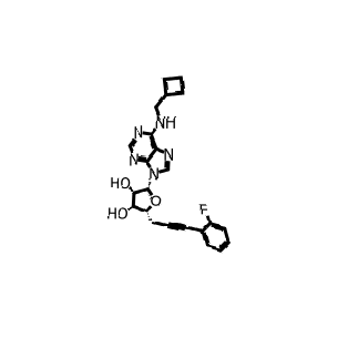 O[C@@H]1[C@H](O)[C@@H](CC#Cc2ccccc2F)O[C@H]1n1cnc2c(NCC3CCC3)ncnc21